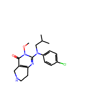 COn1c(N(CC(C)C)c2ccc(Cl)cc2)nc2c(c1=O)CNCC2